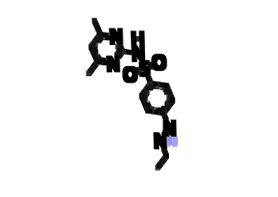 CC/N=N/c1ccc(S(=O)(=O)Nc2nc(C)cc(C)n2)cc1